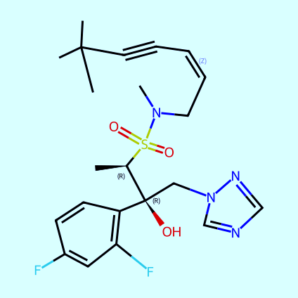 C[C@H]([C@](O)(Cn1cncn1)c1ccc(F)cc1F)S(=O)(=O)N(C)C/C=C\C#CC(C)(C)C